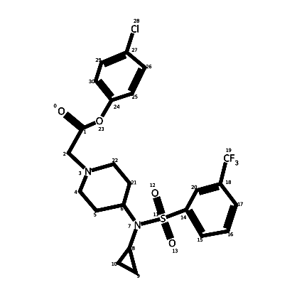 O=C(CN1CCC(N(C2CC2)S(=O)(=O)c2cccc(C(F)(F)F)c2)CC1)Oc1ccc(Cl)cc1